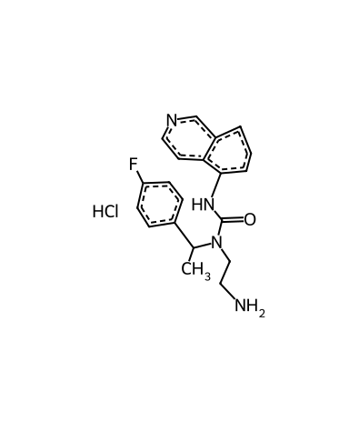 CC(c1ccc(F)cc1)N(CCN)C(=O)Nc1cccc2cnccc12.Cl